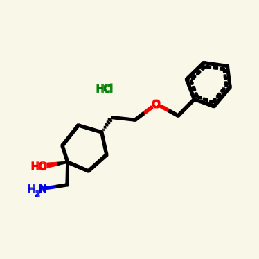 Cl.NC[C@]1(O)CC[C@H](CCOCc2ccccc2)CC1